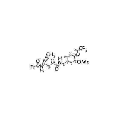 COc1cc(CNC(=O)c2cc(C)nc(NC(=O)C(C)C)c2)ccc1OCC(F)(F)F